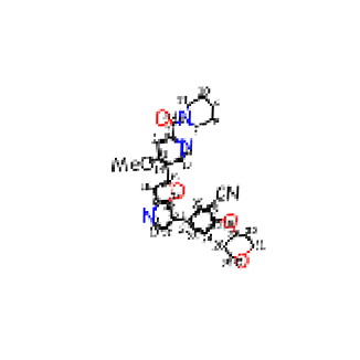 COc1cc(C(=O)N2CCCCC2)ncc1-c1cc2nccc(-c3ccc(OC4CCOCC4)c(C#N)c3)c2o1